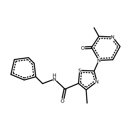 Cc1nc(-n2ccnc(C)c2=O)sc1C(=O)NCc1ccccc1